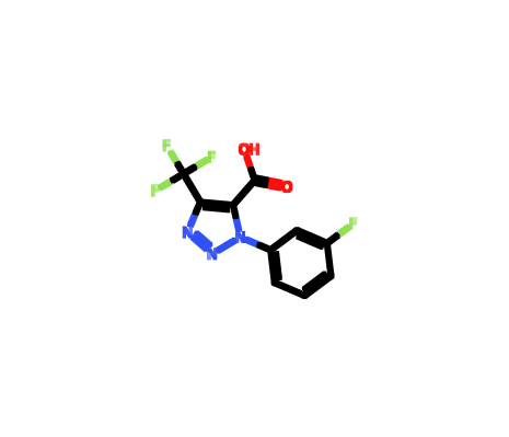 O=C(O)c1c(C(F)(F)F)nnn1-c1cccc(F)c1